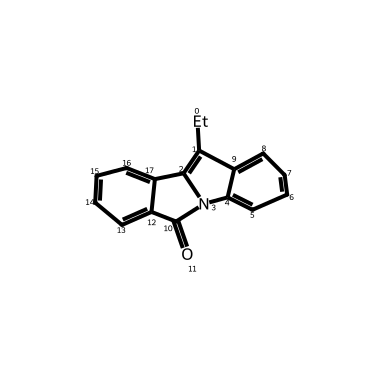 CCc1c2n(c3ccccc13)C(=O)c1ccccc1-2